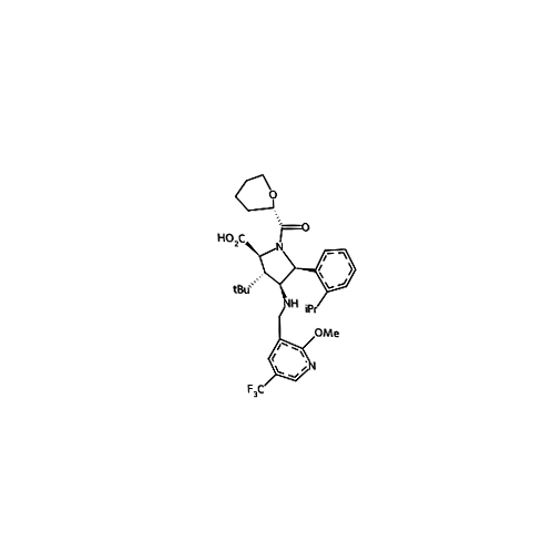 COc1ncc(C(F)(F)F)cc1CN[C@H]1[C@H](C(C)(C)C)[C@@H](C(=O)O)N(C(=O)[C@@H]2CCCCO2)[C@H]1c1ccccc1C(C)C